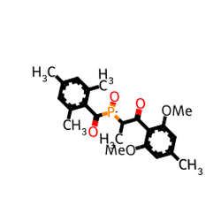 COc1cc(C)cc(OC)c1C(=O)C(C)[P](=O)C(=O)c1c(C)cc(C)cc1C